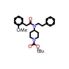 COc1ccccc1CC(=O)N(CCc1ccccc1)C1CCN(C(=O)OC(C)(C)C)CC1